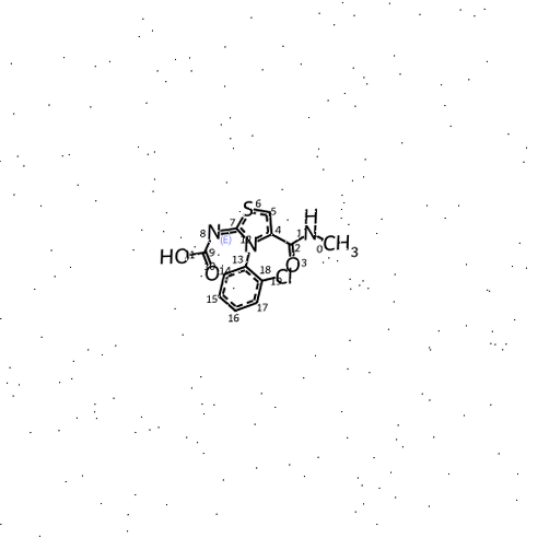 CNC(=O)c1cs/c(=N/C(=O)O)n1-c1ccccc1Cl